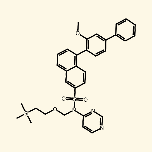 COc1cc(-c2ccccc2)ccc1-c1cccc2cc(S(=O)(=O)N(COCC[Si](C)(C)C)c3ccncn3)ccc12